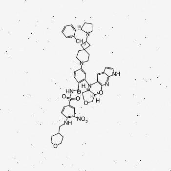 Cc1ccccc1[C@@H]1CCCN1C1CC2(CCN(c3ccc(C(=O)NS(=O)(=O)c4ccc(NCC5CCOCC5)c([N+](=O)[O-])c4)c(N4c5cc6cc[nH]c6nc5O[C@H]5COCC[C@H]54)c3)CC2)C1